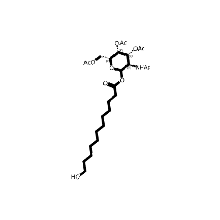 CC(=O)N[C@H]1C(OC(=O)CCCCCCCCCCCO)O[C@H](COC(C)=O)[C@H](OC(C)=O)[C@@H]1OC(C)=O